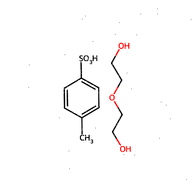 Cc1ccc(S(=O)(=O)O)cc1.OCCOCCO